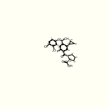 CC(Oc1ccc(Cl)c(Cl)c1)c1cc(F)c(C(=O)N2CCC[C@H]2C(=O)O)cc1C1CC1